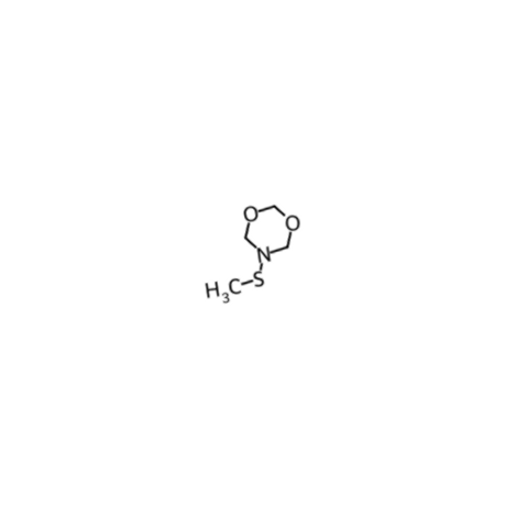 CSN1COCOC1